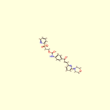 O=C(Nc1ccc(C(=O)C=Cc2cccc(N3CCOCC3)n2)cc1)OCCS(=O)(=O)c1ccccn1